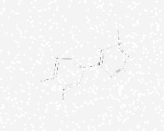 Fc1cc(-c2ccnc(Cl)c2)cc(F)c1F